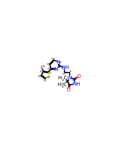 CC1(C)C(=O)NC(=O)N1CCNc1nccc(-c2sccc2I)n1